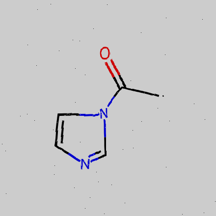 [CH2]C(=O)n1ccnc1